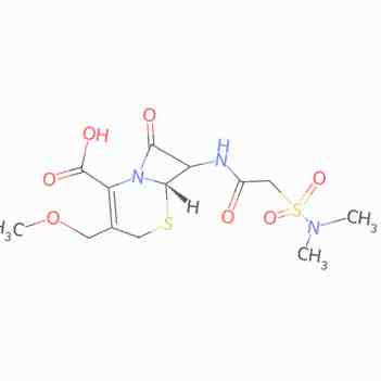 COCC1=C(C(=O)O)N2C(=O)C(NC(=O)CS(=O)(=O)N(C)C)[C@@H]2SC1